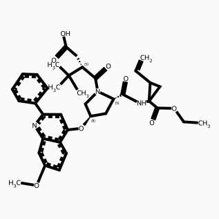 C=CC1CC1(NC(=O)[C@@H]1C[C@@H](Oc2cc(-c3ccccc3)nc3cc(OC)ccc23)CN1C(=O)[C@@H](CC(=O)O)C(C)(C)C)C(=O)OCC